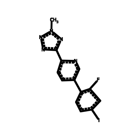 Cn1nnc(-c2ccc(-c3ccc(I)cc3F)cn2)n1